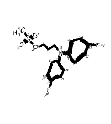 CS(=O)(=O)OCCCN(c1ccc(F)cc1)c1ccc(F)cc1